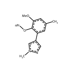 CCCOc1c(OC)cc(C)cc1-c1cnn(C)c1